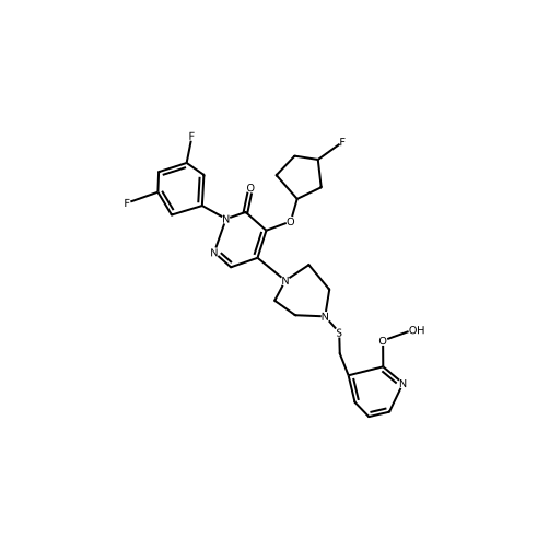 O=c1c(OC2CCC(F)C2)c(N2CCN(SCc3cccnc3OO)CC2)cnn1-c1cc(F)cc(F)c1